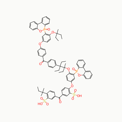 CCC(C)(CC)Oc1ccc(Oc2ccc(C(=O)c3ccc(C(CC)(CC)C(C)(CC)Oc4ccc(Oc5ccc(C(=O)c6ccc(C(C)(C)CC)c(S(=O)(=O)O)c6)cc5S(=O)(=O)O)cc4P4(=O)Oc5ccccc5-c5ccccc54)cc3)cc2)cc1P1(=O)Oc2ccccc2-c2ccccc21